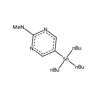 CCC[CH2][Sn]([CH2]CCC)([CH2]CCC)[c]1cnc(NC)nc1